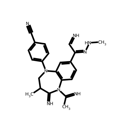 CN/N=C(\C=N)c1ccc2c(c1)N(c1ccc(C#N)cc1)CC(C)C(=N)N2C(C)=N